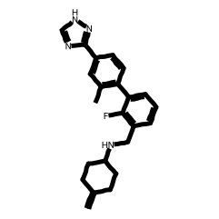 C=C1CCC(NCc2cccc(-c3ccc(-c4nc[nH]n4)cc3C)c2F)CC1